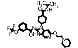 CC(C)NC(=O)C1CCC(n2/c(=N/C(=O)c3cccc(OC(F)(F)F)c3)[nH]c3cnc(OCCN4CCCCC4)cc32)CC1